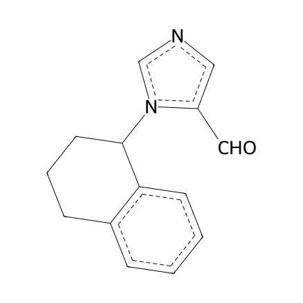 O=Cc1cncn1C1CCCc2ccccc21